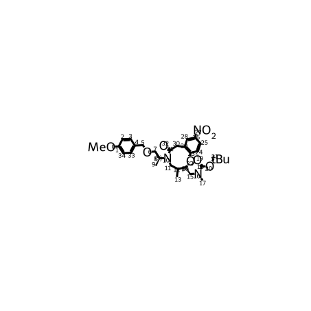 COc1ccc(COC[C@H](C)N2CC(C)[C@H](CN(C)C(=O)OC(C)(C)C)Oc3ccc([N+](=O)[O-])cc3CC2=O)cc1